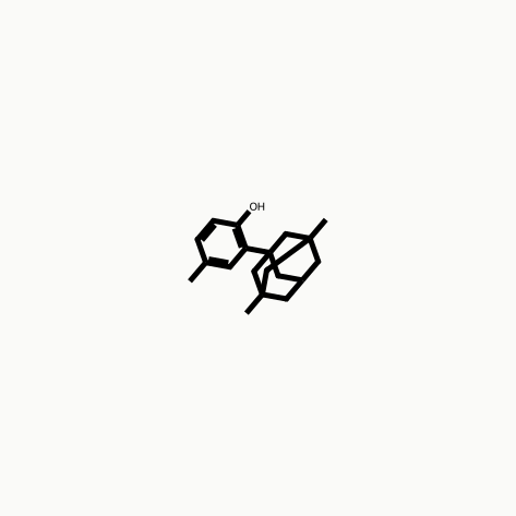 Cc1ccc(O)c(C23CC4CC(C)(CC(C)(C4)C2)C3)c1